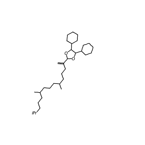 C=C(CCCC(C)CCCC(C)CCCC(C)C)C1OC(C2CCCCC2)C(C2CCCCC2)O1